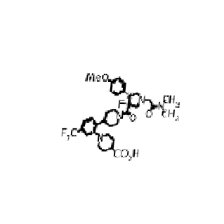 COc1ccc([C@@H]2CN(CC(=O)N(C)C)C[C@@]2(F)C(=O)N2CCC(c3ccc(C(F)(F)F)cc3N3CCC(C(=O)O)CC3)CC2)cc1